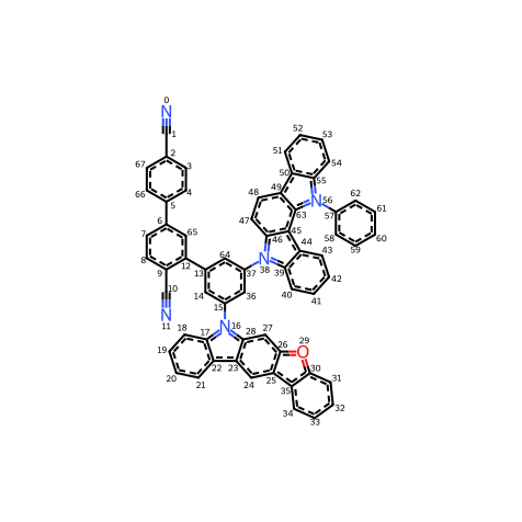 N#Cc1ccc(-c2ccc(C#N)c(-c3cc(-n4c5ccccc5c5cc6c(cc54)oc4ccccc46)cc(-n4c5ccccc5c5c4ccc4c6ccccc6n(-c6ccccc6)c45)c3)c2)cc1